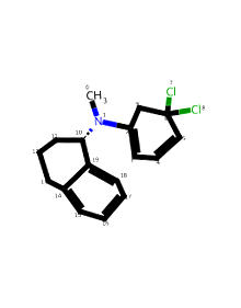 CN(C1=CC=CC(Cl)(Cl)C1)[C@H]1CCCc2ccccc21